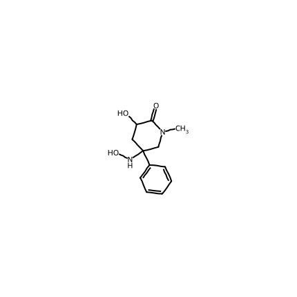 CN1CC(NO)(c2ccccc2)CC(O)C1=O